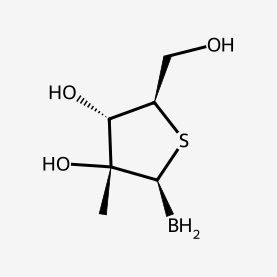 B[C@@H]1S[C@H](CO)[C@@H](O)[C@@]1(C)O